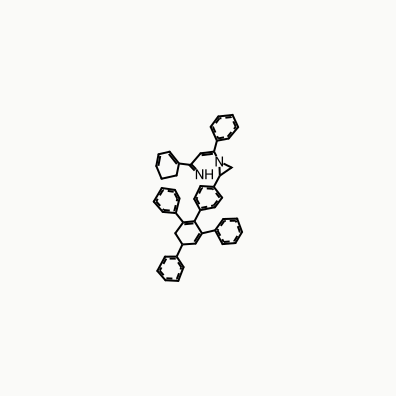 N=C(/C=C(/c1ccccc1)N1CC1c1ccc(C2=C(c3ccccc3)CC(c3ccccc3)C=C2c2ccccc2)cc1)C1=CC=CCC1